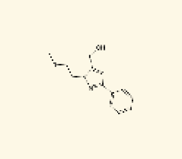 CNCCn1nc(-c2ccccc2)cc1CO